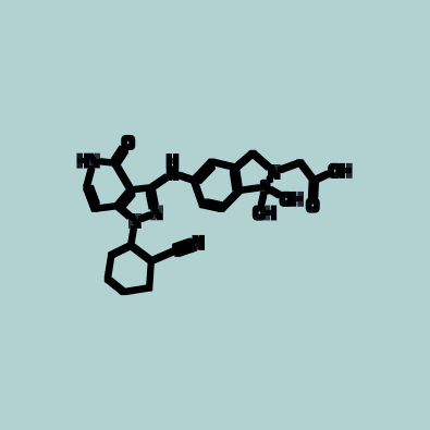 N#CC1CCCCC1n1nc(Nc2ccc3c(c2)CN(CC(=O)O)S3(O)O)c2c(=O)[nH]ccc21